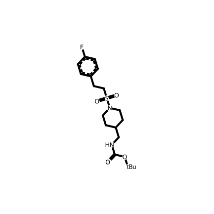 CC(C)(C)OC(=O)NCC1CCN(S(=O)(=O)CCc2ccc(F)cc2)CC1